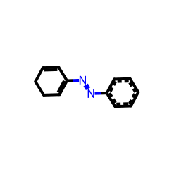 C1=CC(/N=N/c2ccccc2)=CCC1